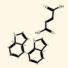 O=C(O)/C=C/C(=O)O.c1ccc2occc2c1.c1ccc2occc2c1